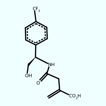 C=C(CC(=O)N[C@@H](CO)c1ccc(C(F)(F)F)cc1)C(=O)O